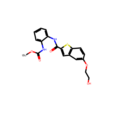 CC(C)(C)OC(=O)Nc1ccccc1NC(=O)c1cc2cc(OCCO)ccc2s1